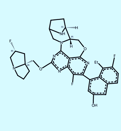 CCc1c(F)ccc2cc(O)cc(-c3nc4c5c(nc(OC[C@]67CCCN6C[C@H](F)C7)nc5c3F)N3CC5CC[C@H](N5)[C@@H]3CO4)c12